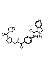 O=C(NCC1CCN(C(=O)C2CCOC2)C1)c1ccc(NC(=O)C2NCc3cnccc32)cc1